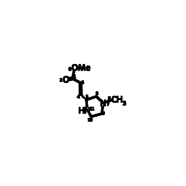 COC(=O)/C=C/[C@@H]1CN(C)CCN1